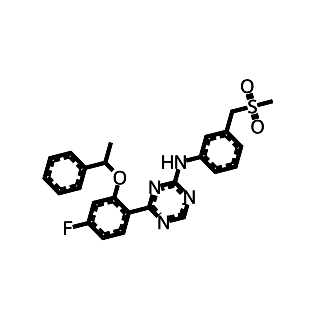 CC(Oc1cc(F)ccc1-c1ncnc(Nc2cccc(CS(C)(=O)=O)c2)n1)c1ccccc1